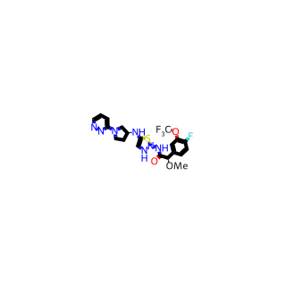 CO[C@H](C(=O)NN1NC=C(N[C@@H]2CCN(c3cccnn3)C2)S1)c1ccc(F)c(OC(F)(F)F)c1